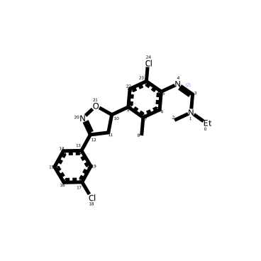 CCN(C)/C=N\c1cc(C)c(C2CC(c3cccc(Cl)c3)=NO2)cc1Cl